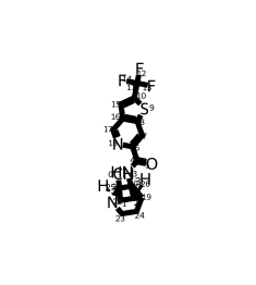 C[C@H]1[C@H](NC(=O)c2cc3sc(C(F)(F)F)cc3cn2)C2CCN1CC2